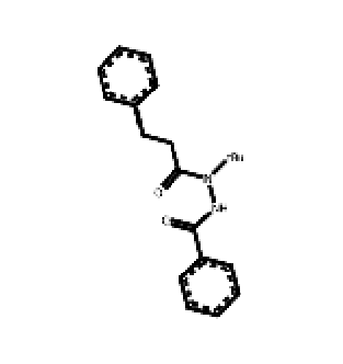 CC(C)(C)N(NC(=O)c1ccccc1)C(=O)CCc1ccccc1